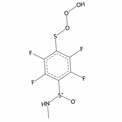 CN[S+]([O-])c1c(F)c(F)c(SOOO)c(F)c1F